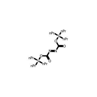 CCC[Si](CCC)(CCC)OC(=O)N=NC(=O)O[Si](CCC)(CCC)CCC